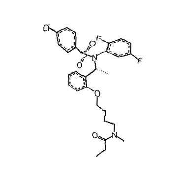 CCC(=O)N(C)CCCCOc1ccccc1[C@@H](C)N(c1cc(F)ccc1F)S(=O)(=O)c1ccc(Cl)cc1